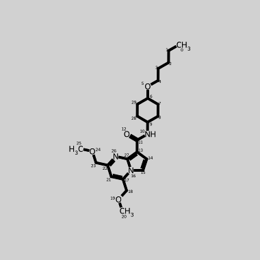 CCCCCOC1CCC(NC(=O)c2ccn3c(COC)cc(COC)nc23)CC1